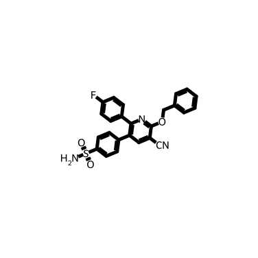 N#Cc1cc(-c2ccc(S(N)(=O)=O)cc2)c(-c2ccc(F)cc2)nc1OCc1ccccc1